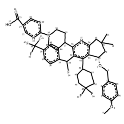 COc1ccc(CO[C@H]2CC(C)(C)Cc3nc(C4CCN(c5ncc(C(=O)O)cn5)CC4)c(C(F)c4ccc(C(F)(F)F)cc4)c(C4CCC(F)(F)CC4)c32)cc1